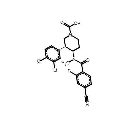 CN(C(=O)c1ccc(C#N)cc1F)[C@@H]1CCN(C(=O)O)C[C@H]1c1ccc(Cl)c(Cl)c1